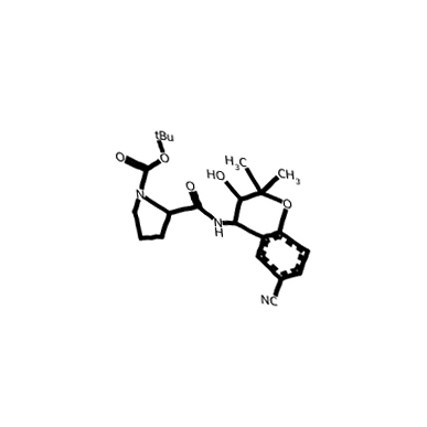 CC(C)(C)OC(=O)N1CCCC1C(=O)NC1c2cc(C#N)ccc2OC(C)(C)C1O